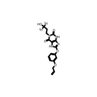 [2H]C([2H])(O)CCn1c(=O)[nH]c2nc(Oc3cccc(OCC=C)c3)[nH]c2c1=O